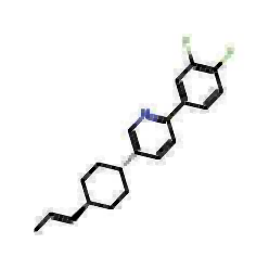 CC=C[C@H]1CC[C@H](c2ccc(-c3ccc(F)c(F)c3)nc2)CC1